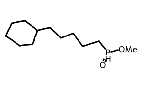 CO[PH](=O)CCCCCC1CCCCC1